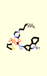 CCn1c2ccccc2c2cc(NC(=O)OC3CN(CCCSC)CCN3S(=O)(=O)c3cccs3)ccc21